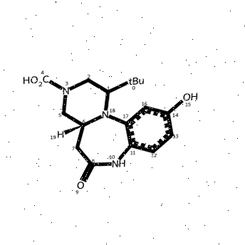 CC(C)(C)C1CN(C(=O)O)C[C@H]2CC(=O)Nc3ccc(O)cc3N12